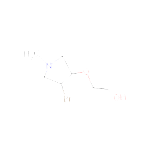 CN1CC(Br)C(OCCO)C1